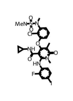 CNS(=O)(=O)N(C)c1cccc(Oc2c(C(=O)NC3CC3)c(Nc3ccc(I)cc3F)n(C)c(=O)c2C)c1Cl